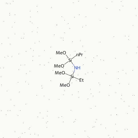 CCC[Si](N[Si](CC)(OC)OC)(OC)OC